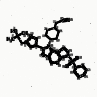 CC(C)(O)Cn1cc(-c2nc3cnc4c(ccn4S(=O)(=O)c4ccccc4)c3n2[C@H]2CC[C@H](CC#N)CC2)cn1